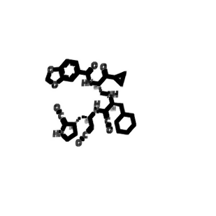 O=C=C[C@H](C[C@@H]1CCNC1=C=O)NC(=C=O)[C@H](CC1CCCCC1)NC[C@H](NC(=O)c1ccc2c(c1)OCO2)C(=O)C1CC1